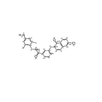 Cc1cc(N)nc(C)c1CNC(=O)c1ccnc(Cn2ccc3cc(Cl)ccc3c2=O)c1